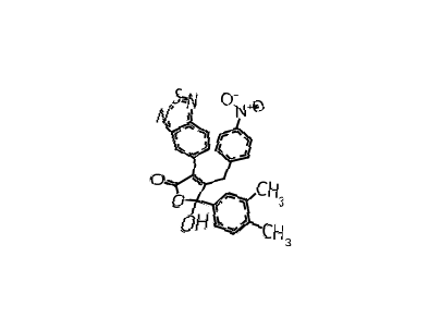 Cc1ccc(C2(O)OC(=O)C(c3ccc4nsnc4c3)=C2Cc2ccc([N+](=O)[O-])cc2)cc1C